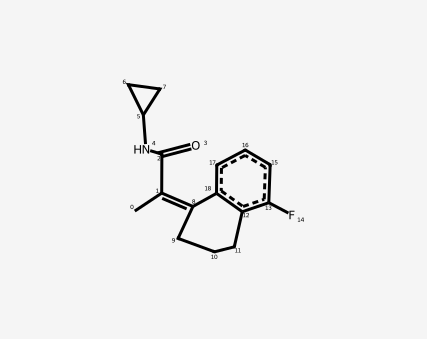 CC(C(=O)NC1CC1)=C1CCCc2c(F)cccc21